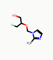 O=[N+]([O-])c1nccn1COC(CO)CF